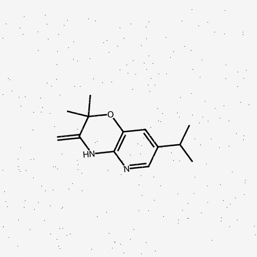 C=C1Nc2ncc(C(C)C)cc2OC1(C)C